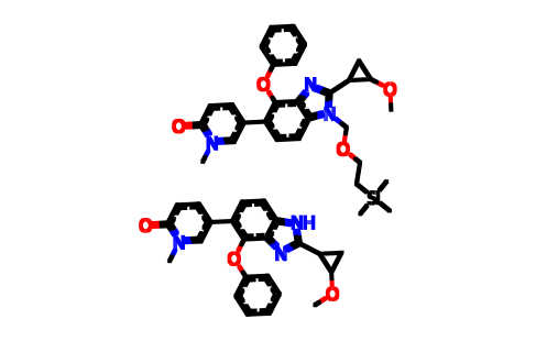 COC1CC1c1nc2c(Oc3ccccc3)c(-c3ccc(=O)n(C)c3)ccc2[nH]1.COC1CC1c1nc2c(Oc3ccccc3)c(-c3ccc(=O)n(C)c3)ccc2n1COCC[Si](C)(C)C